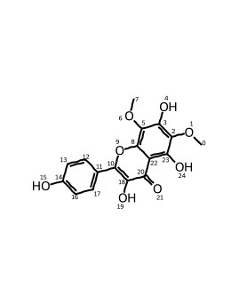 COc1c(O)c(OC)c2oc(-c3ccc(O)cc3)c(O)c(=O)c2c1O